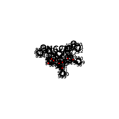 N#Cc1c(C#N)c(-n2c3ccccc3c3c4c(ccc32)oc2ccccc24)c(-n2c3ccccc3c3cc(-c4ccccc4)ccc32)c(-n2c3ccccc3c3cc(-c4ccccc4)ccc32)c1-n1c2ccccc2c2c3c(ccc21)oc1ccccc13